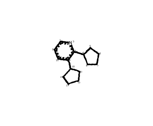 c1cnc(C2CCCC2)c(C2CCCC2)c1